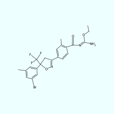 CCO/C(N)=N\C(=O)c1ccc(C2=NOC(c3cc(C)cc(Br)c3)(C(F)(F)F)C2)cc1C